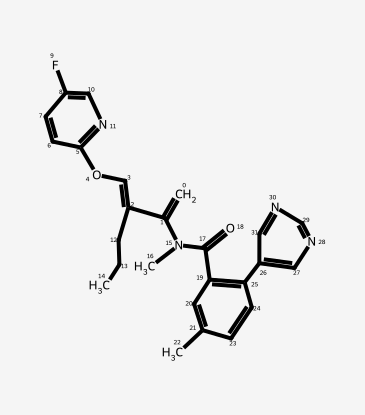 C=C(/C(=C/Oc1ccc(F)cn1)CCC)N(C)C(=O)c1cc(C)ccc1-c1cncnc1